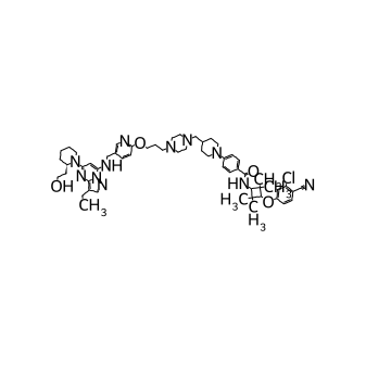 CCc1cnn2c(NCc3ccc(OCCCN4CCN(CC5CCN(c6ccc(C(=O)NC7C(C)(C)C(Oc8ccc(C#N)c(Cl)c8)C7(C)C)cc6)CC5)CC4)nc3)cc(N3CCCC[C@@H]3CCO)nc12